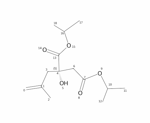 C=C(C)C[C@](O)(CC(=O)OC(C)C)C(=O)OC(C)C